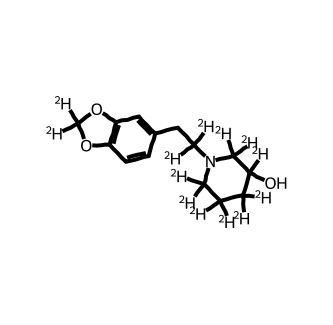 [2H]C1([2H])Oc2ccc(CC([2H])([2H])N3C([2H])([2H])C([2H])([2H])C([2H])([2H])C([2H])(O)C3([2H])[2H])cc2O1